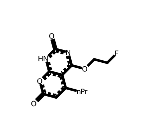 CCCc1cc(=O)oc2[nH]c(=O)nc(OCCF)c12